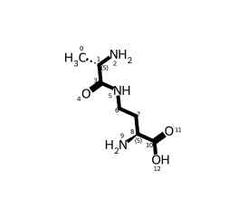 C[C@H](N)C(=O)NCC[C@H](N)C(=O)O